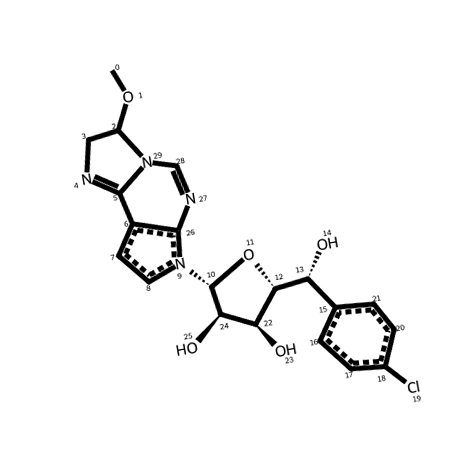 COC1CN=C2c3ccn([C@@H]4O[C@H]([C@H](O)c5ccc(Cl)cc5)[C@@H](O)[C@H]4O)c3N=CN21